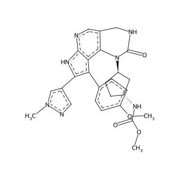 COC(=O)N[C@@H]1CC[C@@H](N2C(=O)NCc3cnc4[nH]c(-c5cnn(C)c5)c(-c5ccc(OC)cc5)c4c32)C1